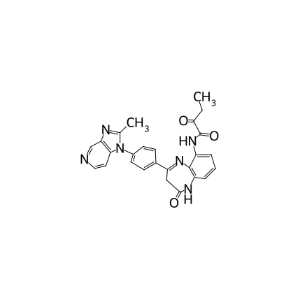 CCC(=O)C(=O)Nc1cccc2c1N=C(c1ccc(-n3c(C)nc4cnccc43)cc1)CC(=O)N2